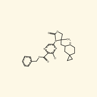 CC1(CC2CC3(CCN2)CC3)COC(=O)N1c1cnc(C(=O)OCc2ccccc2)c(Cl)n1